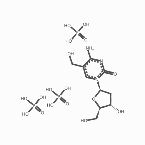 Nc1nc(=O)n([C@H]2C[C@H](O)[C@@H](CO)O2)cc1CO.O=P(O)(O)O.O=P(O)(O)O.O=P(O)(O)O